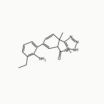 CCc1cccc(C2=CC(C(N)=O)C(C)(c3nn[nH]n3)C=C2)c1N